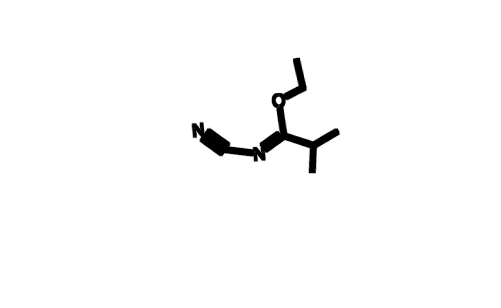 CCO/C(=N\C#N)C(C)C